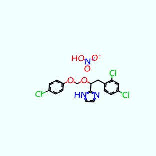 Clc1ccc(OCOC(Cc2ccc(Cl)cc2Cl)c2ncc[nH]2)cc1.O=[N+]([O-])O